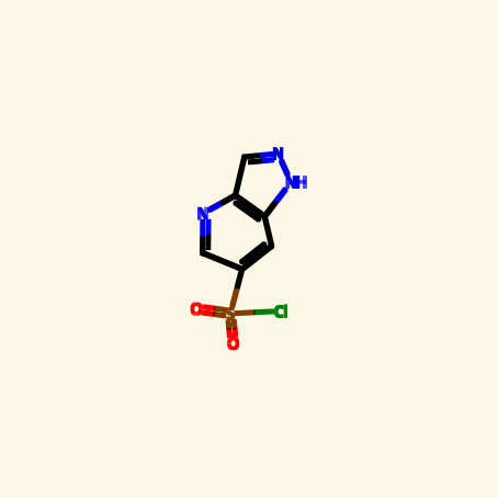 O=S(=O)(Cl)c1cnc2cn[nH]c2c1